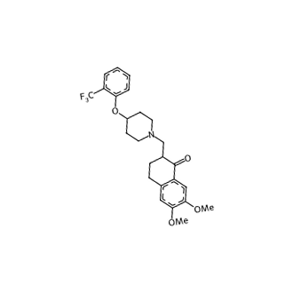 COc1cc2c(cc1OC)C(=O)C(CN1CCC(Oc3ccccc3C(F)(F)F)CC1)CC2